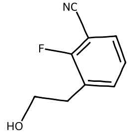 N#Cc1cccc(CCO)c1F